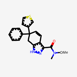 CON(C)C(=O)c1n[nH]c2c1C=CC(c1ccccc1)(c1ccsc1)C2